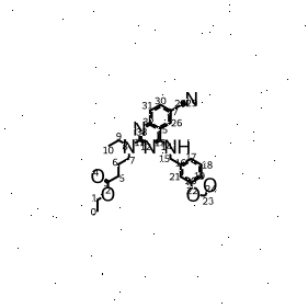 CCOC(=O)CCCN(CC)c1nc(NCc2ccc3c(c2)OCO3)c2cc(C#N)ccc2n1